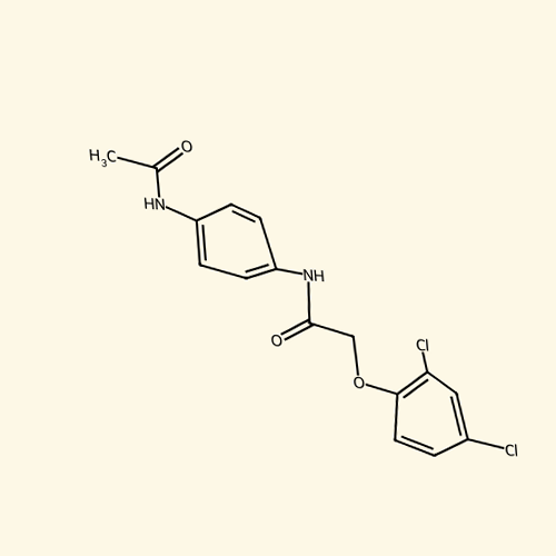 CC(=O)Nc1ccc(NC(=O)COc2ccc(Cl)cc2Cl)cc1